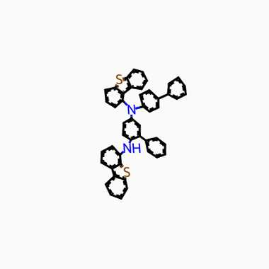 c1ccc(-c2ccc(N(c3ccc(Nc4cccc5c4sc4ccccc45)c(-c4ccccc4)c3)c3cccc4sc5ccccc5c34)cc2)cc1